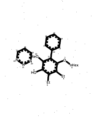 CCCCCCOc1c(CC)c(CC)c(O)c(OC)c1-c1ccccc1.c1cnnnc1